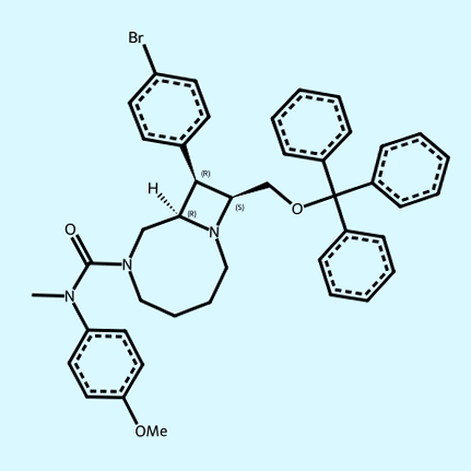 COc1ccc(N(C)C(=O)N2CCCCN3[C@H](COC(c4ccccc4)(c4ccccc4)c4ccccc4)[C@H](c4ccc(Br)cc4)[C@@H]3C2)cc1